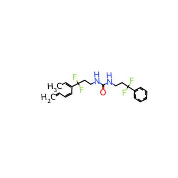 C=C/C=C\C(=C/C)C(F)(F)CCNC(=O)NCCC(F)(F)c1ccccc1